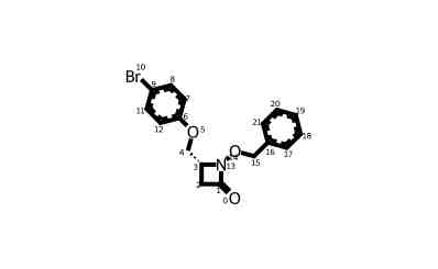 O=C1C[C@H](COc2ccc(Br)cc2)N1OCc1ccccc1